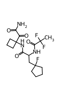 CC(F)(F)C(=O)NC(CC1(F)CCCC1)C(=O)NC1(C(=O)C(N)=O)CCC1